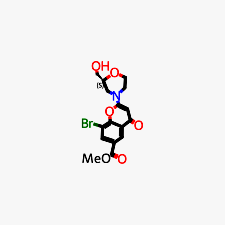 COC(=O)c1cc(Br)c2oc(N3CCO[C@H](CO)C3)cc(=O)c2c1